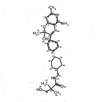 Cc1nc(N)c2c(n1)OC(C)(C)C(c1ccc([C@H]3CC[C@H](CNC(=O)C(C)(C)CO)CC3)cc1)=N2